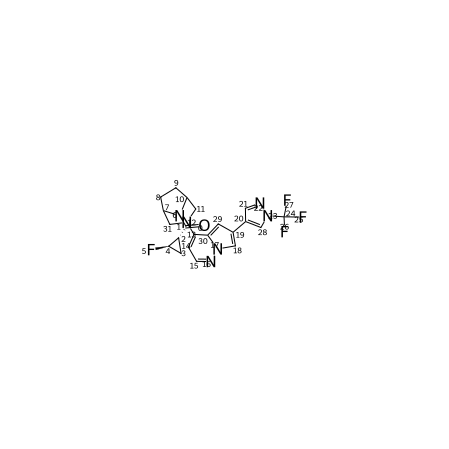 O=C([C@@H]1C[C@H]1F)N1C2CCC1CN(c1ccnn3cc(-c4cnn(C(F)(F)F)c4)cc13)C2